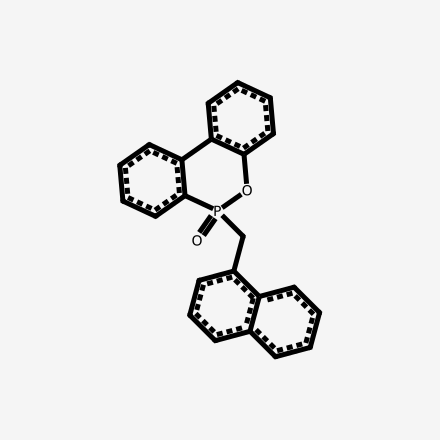 O=P1(Cc2cccc3ccccc23)Oc2ccccc2-c2ccccc21